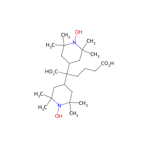 CC1(C)CC(C(CCCC(=O)O)(C(=O)O)C2CC(C)(C)N(O)C(C)(C)C2)CC(C)(C)N1O